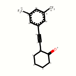 O=C1CCCCC1C#Cc1cc(C(F)(F)F)cc(C(F)(F)F)c1